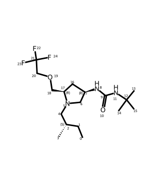 CC[C@H](C)CN1C[C@H](NC(=O)NC(C)(C)C)C[C@@H]1COCC(F)(F)F